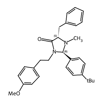 COc1ccc(CCN2C(=O)[C@H](Cc3ccccc3)N(C)[C@H]2c2ccc(C(C)(C)C)cc2)cc1